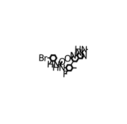 CNc1ncc2cc(-c3cc(NC(=O)Nc4cccc(Br)c4C)c(F)cc3C)c(=O)n(C)c2n1